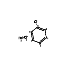 [Cl-].[Cl-].[Fe+2].c1ccncc1